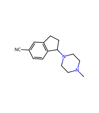 CN1CCN(C2CCc3cc(C#N)ccc32)CC1